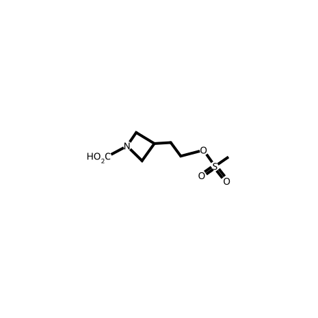 CS(=O)(=O)OCCC1CN(C(=O)O)C1